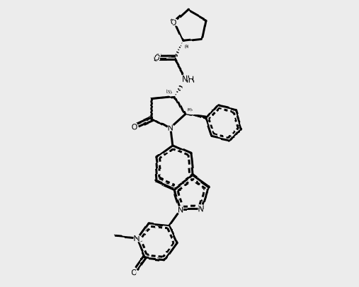 Cn1cc(-n2ncc3cc(N4C(=O)C[C@H](NC(=O)[C@H]5CCCO5)[C@H]4c4ccccc4)ccc32)ccc1=O